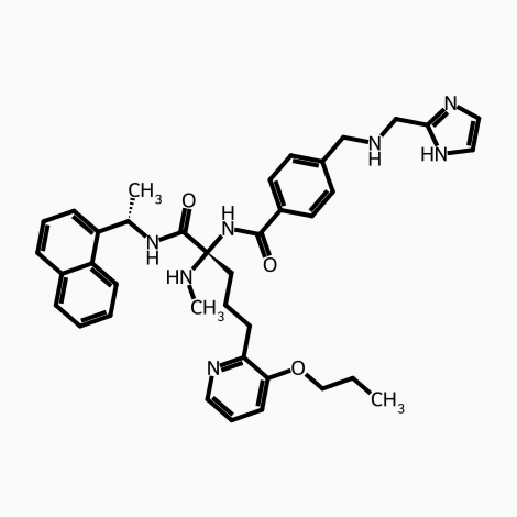 CCCOc1cccnc1CCC[C@](NC)(NC(=O)c1ccc(CNCc2ncc[nH]2)cc1)C(=O)N[C@@H](C)c1cccc2ccccc12